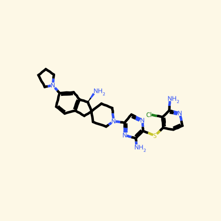 Nc1nc(N2CCC3(CC2)Cc2ccc(N4CCCC4)cc2[C@H]3N)cnc1Sc1ccnc(N)c1Cl